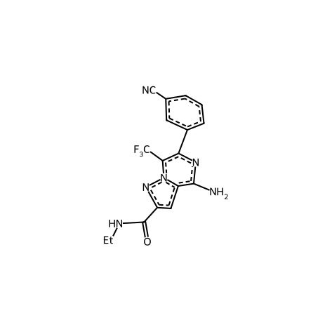 CCNC(=O)c1cc2c(N)nc(-c3cccc(C#N)c3)c(C(F)(F)F)n2n1